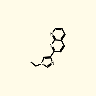 CCn1cnc(-c2ccc3cccnc3n2)c1